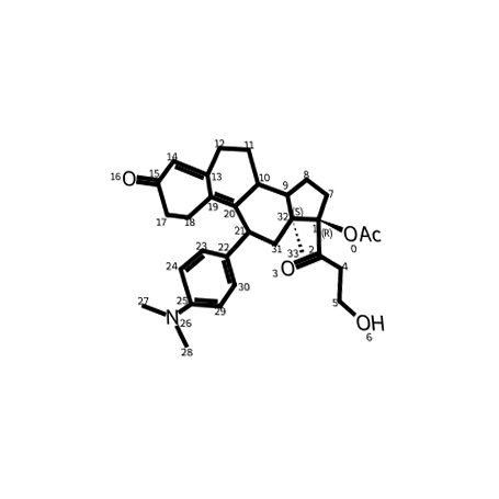 CC(=O)O[C@]1(C(=O)CCO)CCC2C3CCC4=CC(=O)CCC4=C3C(c3ccc(N(C)C)cc3)C[C@@]21C